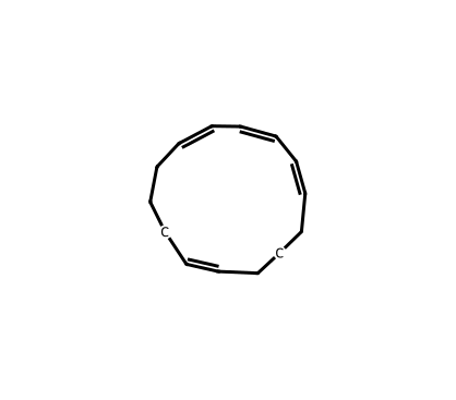 C1=CC=CCCCC=CCCCC=C1